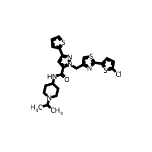 CC(C)N1CCC(NC(=O)c2cc(-c3cccs3)nn2Cc2csc(-c3ccc(Cl)s3)n2)CC1